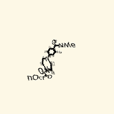 CCCCCCCCS(=O)(=O)N1CCN(c2ccc(C(=O)NC)cc2)CC1